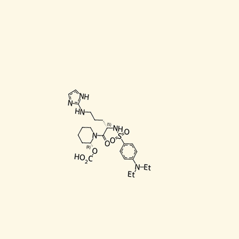 CCN(CC)c1ccc(S(=O)(=O)N[C@@H](CCCNc2ncc[nH]2)C(=O)N2CCCC[C@H]2OC(=O)O)cc1